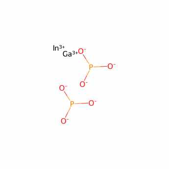 [Ga+3].[In+3].[O-]P([O-])[O-].[O-]P([O-])[O-]